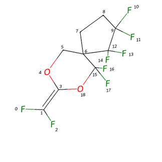 FC(F)=C1OCC2(CCC(F)(F)C2(F)F)C(F)(F)O1